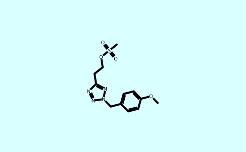 COc1ccc(Cn2nnc(CCOS(C)(=O)=O)n2)cc1